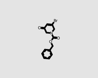 O=C1C=C(Br)CN(C(=O)OCc2ccccc2)C1